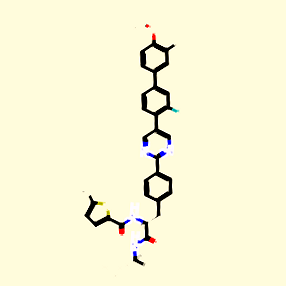 Cc1cc(-c2ccc(-c3cnc(-c4ccc(C[C@H](NC(=O)c5ccc(C(C)(C)C)s5)C(=O)N[C@H](C)C(=O)O)cc4)nc3)c(F)c2)ccc1OC(F)(F)F